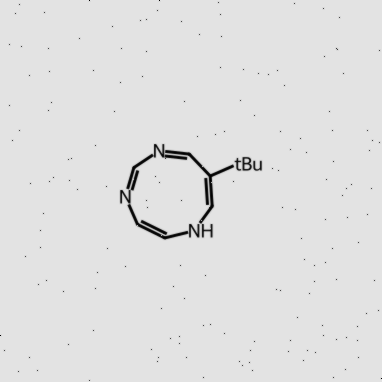 CC(C)(C)c1cncncc[nH]c1